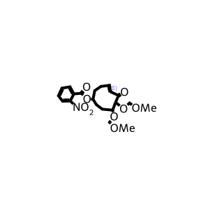 COCOC1CCC(OC(=O)c2ccccc2[N+](=O)[O-])CC/C=C/C(=O)C1OCOC